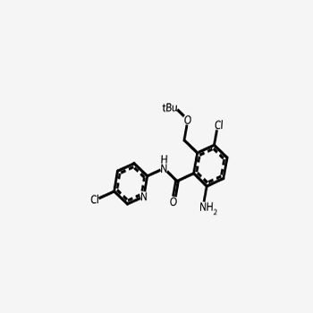 CC(C)(C)OCc1c(Cl)ccc(N)c1C(=O)Nc1ccc(Cl)cn1